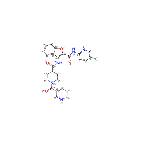 O=C(Nc1ccc(Cl)cn1)c1oc2ccccc2c1NC(=O)C1CCN(C(=O)c2cccnc2)CC1